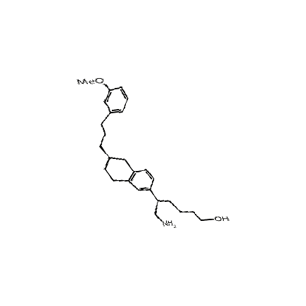 COc1cccc(CCC[C@@H]2CCc3cc([C@H](CN)CCCCO)ccc3C2)c1